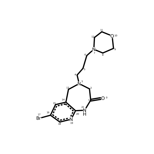 O=C1CN(CCCN2CCOCC2)Cc2cc(Br)cnc2N1